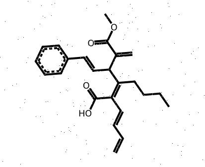 C=CC=CC(C(=O)O)=C(CCCC)C(C=Cc1ccccc1)C(=C)C(=O)OC